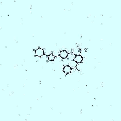 CN(c1cccnc1)c1ccc([N+](=O)[O-])c(Nc2ccc(-c3csc(C4CCCCC4)n3)cc2)n1